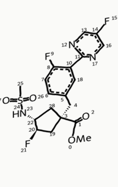 COC(=O)[C@@]1(Cc2ccc(F)c(-c3ncc(F)cn3)c2)C[C@@H](F)[C@H](NS(C)(=O)=O)C1